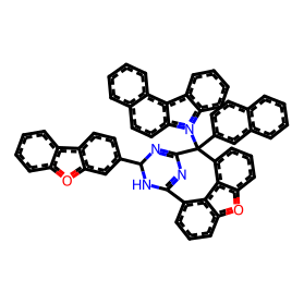 c1ccc2cc(C3(n4c5ccccc5c5c6ccccc6ccc54)C4=NC(c5ccc6c(c5)oc5ccccc56)NC(=N4)c4cccc5oc6cccc3c6c45)ccc2c1